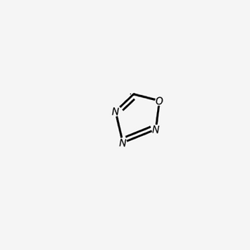 [c]1nnno1